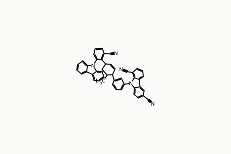 CC1CC(c2c(C#N)cccc2-n2c3ccccc3c3ccccc32)C=CC1c1cccc(-n2c3ccc(C#N)cc3c3cccc(C#N)c32)c1